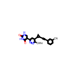 COc1nnc(-c2c[nH]c(=O)[nH]c2=O)cc1C1CC1C#Cc1cccc(C#N)c1